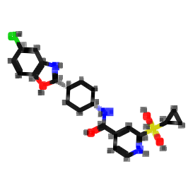 O=C(N[C@H]1CC[C@@H](c2nc3cc(Cl)ccc3o2)CC1)c1ccnc(S(=O)(=O)C2CC2)c1